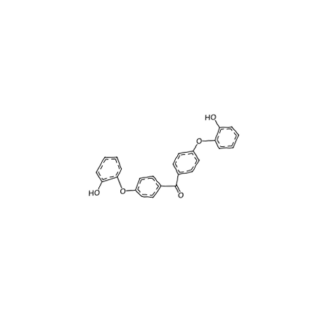 O=C(c1ccc(Oc2ccccc2O)cc1)c1ccc(Oc2ccccc2O)cc1